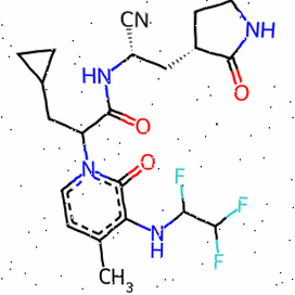 Cc1ccn(C(CC2CC2)C(=O)N[C@H](C#N)C[C@@H]2CCNC2=O)c(=O)c1NC(F)C(F)F